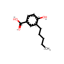 CCCCCc1cc(C(=O)O)ccc1O